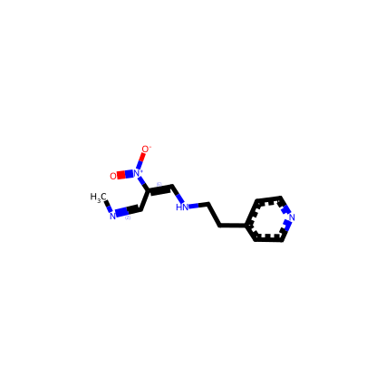 C/N=C\C(=C/NCCc1ccncc1)[N+](=O)[O-]